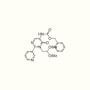 COC(Cn1c(-c2cccnc2)ncc(NC(=O)OCc2ccccc2)c1=O)OC